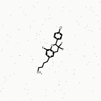 CCCCCc1cc(F)c2c(c1)CC(F)(F)C(c1ccc(Cl)cc1)O2